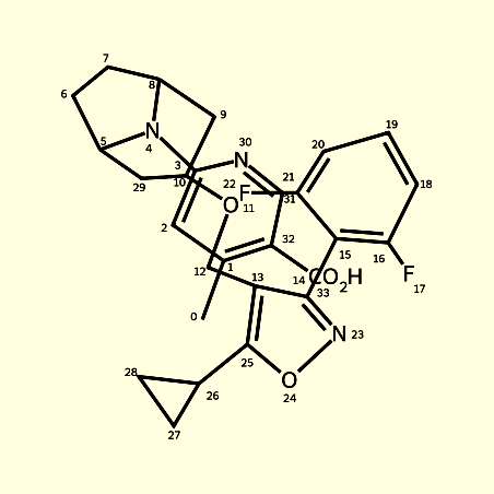 Cc1cc(N2C3CCC2CC(OCc2c(-c4c(F)cccc4F)noc2C2CC2)C3)ncc1C(=O)O